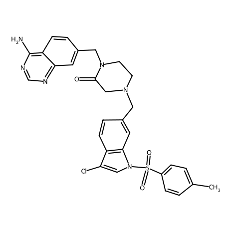 Cc1ccc(S(=O)(=O)n2cc(Cl)c3ccc(CN4CCN(Cc5ccc6c(N)ncnc6c5)C(=O)C4)cc32)cc1